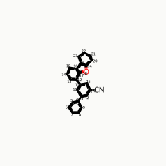 N#Cc1cc(-c2ccccc2)cc(-c2cccc3c2oc2ccccc23)c1